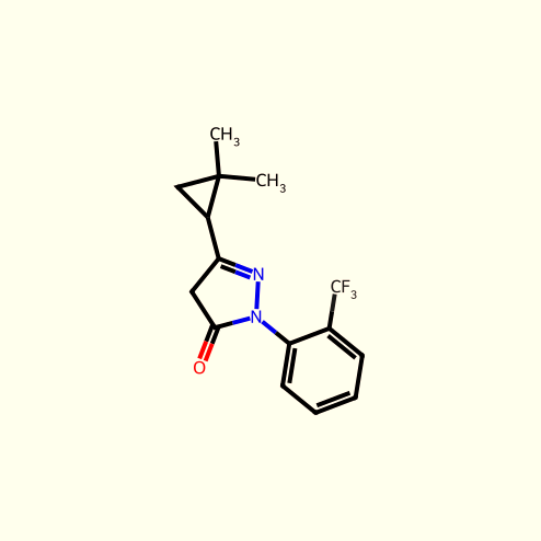 CC1(C)CC1C1=NN(c2ccccc2C(F)(F)F)C(=O)C1